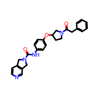 O=C(Cc1ccccc1)N1CCC(Oc2ccc(NC(=O)N3Cc4ccncc4C3)cc2)C1